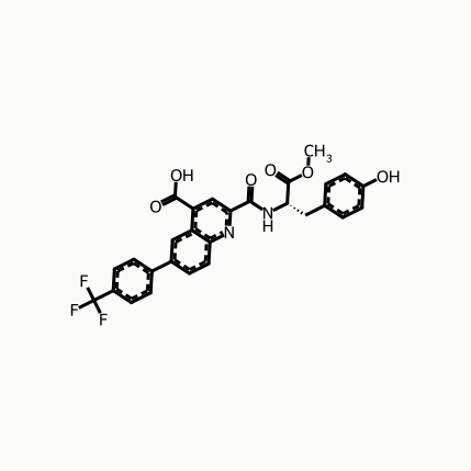 COC(=O)[C@H](Cc1ccc(O)cc1)NC(=O)c1cc(C(=O)O)c2cc(-c3ccc(C(F)(F)F)cc3)ccc2n1